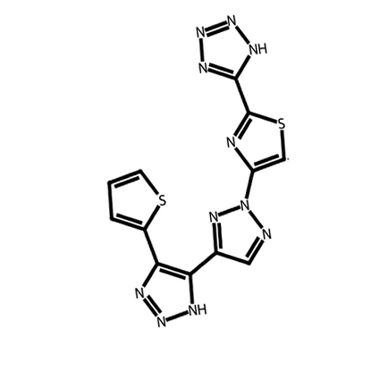 [c]1sc(-c2nnn[nH]2)nc1-n1ncc(-c2[nH]nnc2-c2cccs2)n1